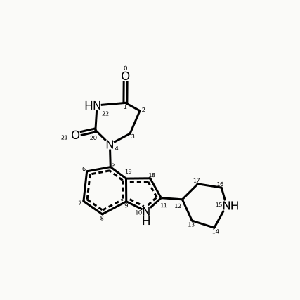 O=C1CCN(c2cccc3[nH]c(C4CCNCC4)cc23)C(=O)N1